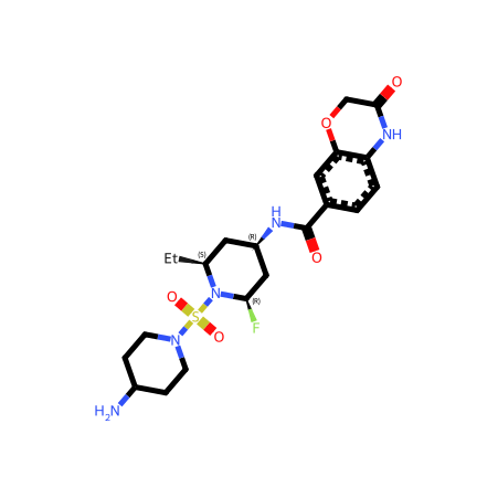 CC[C@H]1C[C@@H](NC(=O)c2ccc3c(c2)OCC(=O)N3)C[C@@H](F)N1S(=O)(=O)N1CCC(N)CC1